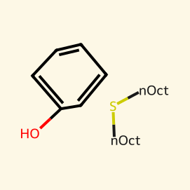 CCCCCCCCSCCCCCCCC.Oc1ccccc1